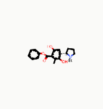 CCN1CCC[C@H]1c1cc(O)c(C(=O)Oc2ccccc2)c(C)c1O